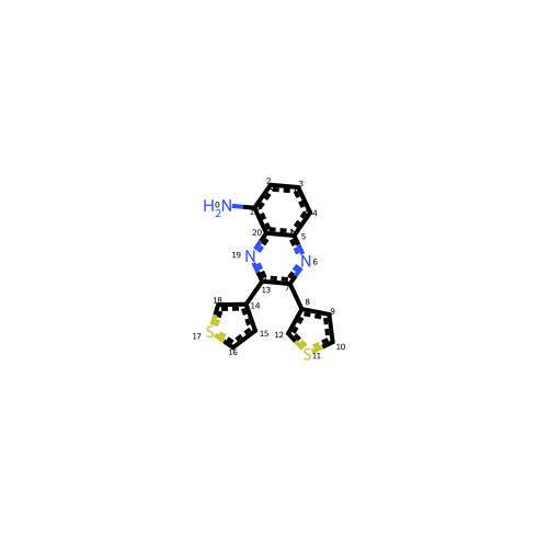 Nc1cccc2nc(-c3ccsc3)c(-c3ccsc3)nc12